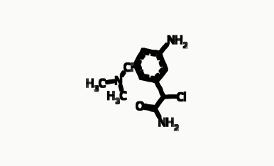 CN(C)C.NC(=O)C(Cl)c1cccc(N)c1